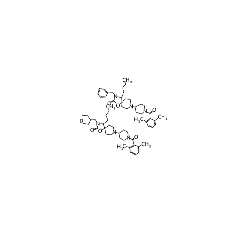 CCCCC1N(CC2CCOCC2)C(=O)OC12CCN(C1CCN(C(=O)c3c(C)cccc3C)CC1)CC2.CCCCC1N(Cc2ccccc2)C(=O)OC12CCN(C1CCN(C(=O)c3c(C)cccc3C)CC1)CC2